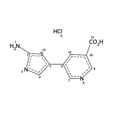 Cl.Nc1ncc(-c2cncc(C(=O)O)c2)s1